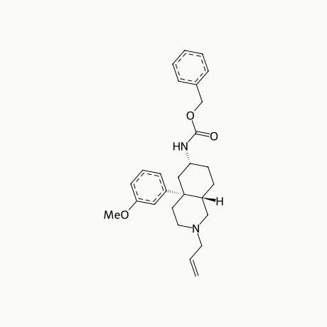 C=CCN1CC[C@@]2(c3cccc(OC)c3)C[C@H](NC(=O)OCc3ccccc3)CC[C@@H]2C1